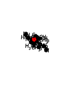 Cc1ccc(-n2nc(C(C)(C)C)cc2N(C(=O)Nc2ccc(-c3ccc(Nc4cccnc4)nc3)c3ccccc23)N(C(=O)Nc2ccc(-c3ccc(Oc4cccnc4)nc3)c3ccccc23)c2cc(C(C)(C)C)nn2-c2ccc(C)cc2)cc1